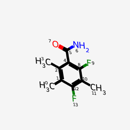 Cc1c(C)c(C(N)=O)c(F)c(C)c1F